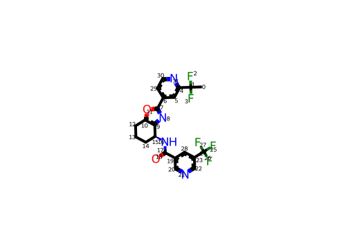 CC(F)(F)c1cc(-c2nc3c(o2)CCC[C@@H]3NC(=O)c2cncc(C(F)(F)F)c2)ccn1